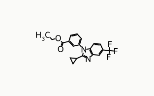 CCOC(=O)c1cccc(-n2c(C3CC3)nc3cc(C(F)(F)F)ccc32)c1